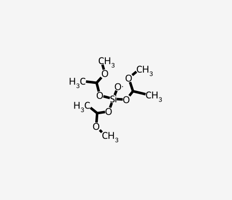 COC(C)O[Si]([O])(OC(C)OC)OC(C)OC